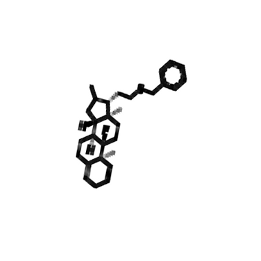 CC1C[C@H]2[C@@H]3CCC4=CCC=C[C@]4(C)[C@@]3(F)CC[C@]2(C)[C@H]1CCSCc1ccccc1